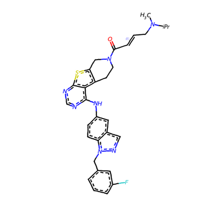 CC(C)N(C)C/C=C/C(=O)N1CCc2c(sc3ncnc(Nc4ccc5c(cnn5Cc5cccc(F)c5)c4)c23)C1